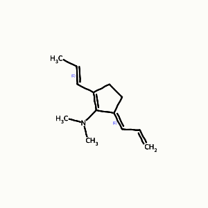 C=C/C=C1\CCC(/C=C/C)=C1N(C)C